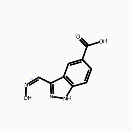 O=C(O)c1ccc2[nH]nc(/C=N\O)c2c1